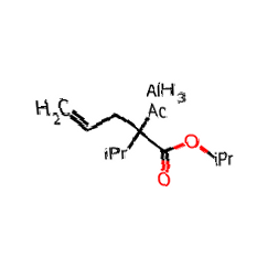 C=CCC(C(C)=O)(C(=O)OC(C)C)C(C)C.[AlH3]